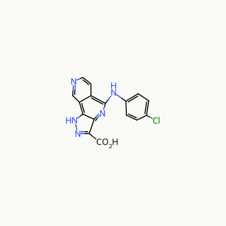 O=C(O)c1n[nH]c2c1nc(Nc1ccc(Cl)cc1)c1ccncc12